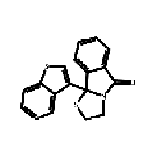 O=C1c2ccccc2C2(c3csc4ccccc34)SCCN12